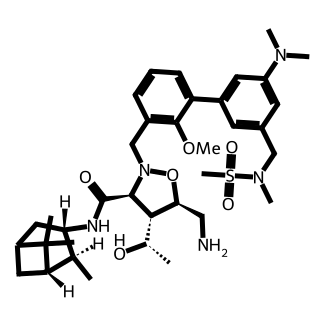 COc1c(CN2O[C@@H](CN)[C@H]([C@H](C)O)[C@H]2C(=O)N[C@H]2CC3C[C@@H]([C@@H]2C)C3(C)C)cccc1-c1cc(CN(C)S(C)(=O)=O)cc(N(C)C)c1